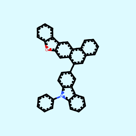 c1ccc(-n2c3ccccc3c3cc(-c4cc5ccccc5c5cc6c(cc45)oc4ccccc46)ccc32)cc1